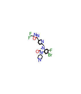 CN1CCC(N(C=O)c2cc(Br)c(F)cc2N(C)Cc2ccc(-c3nnc(C(F)F)o3)cn2)CC1